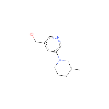 CC1CCCN(c2cncc(CO)c2)C1